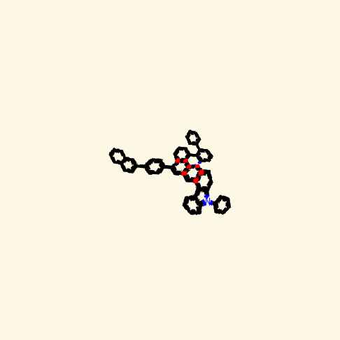 c1ccc(-c2ccccc2-c2c(-c3ccccc3)cccc2N(c2ccc(-c3ccc(-c4ccc5ccccc5c4)cc3)cc2)c2ccc3c(c2)c2ccccc2n3-c2ccccc2)cc1